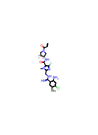 C=CC(=O)N1C[C@@H](C)[C@@H](NC(=O)c2c(F)nc(CNC(=N)c3cc(C(C)(C)C)c(Cl)cc3N)n2C)C1